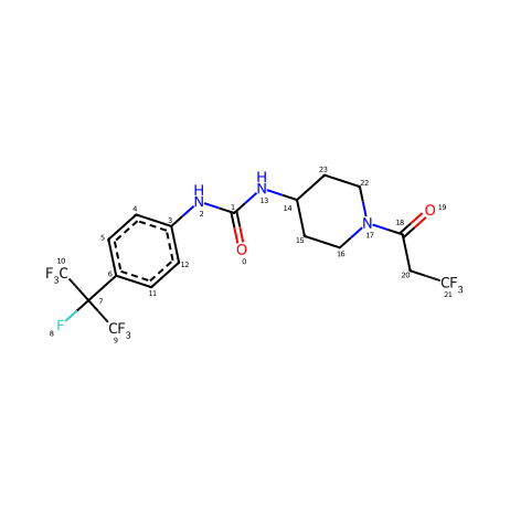 O=C(Nc1ccc(C(F)(C(F)(F)F)C(F)(F)F)cc1)NC1CCN(C(=O)CC(F)(F)F)CC1